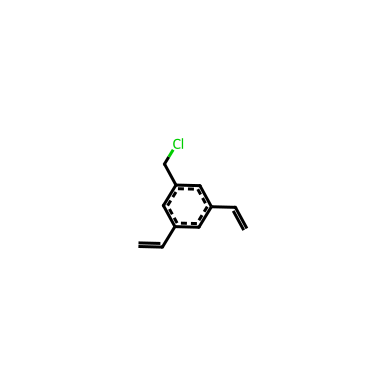 C=Cc1cc(C=C)cc(CCl)c1